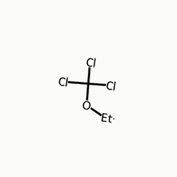 C[CH]OC(Cl)(Cl)Cl